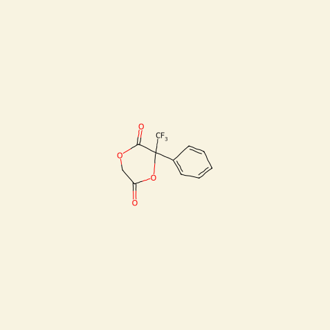 O=C1COC(=O)C(c2ccccc2)(C(F)(F)F)O1